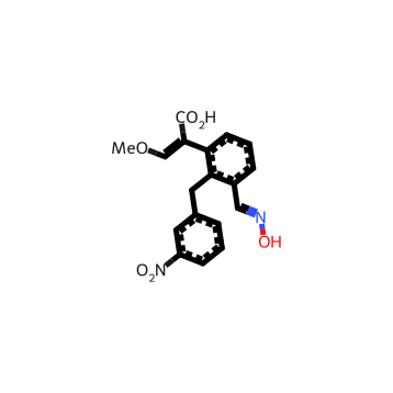 COC=C(C(=O)O)c1cccc(C=NO)c1Cc1cccc([N+](=O)[O-])c1